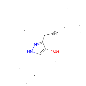 CCCCc1n[nH]cc1O